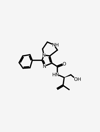 C=C(C)[C@H](CO)NC(=O)c1nc(-c2ccccc2)n2c1CNCC2